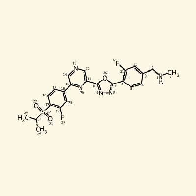 CNCc1ccc(-c2nnc(-c3cncc(-c4ccc(S(=O)(=O)C(C)C)c(F)c4)n3)o2)c(F)c1